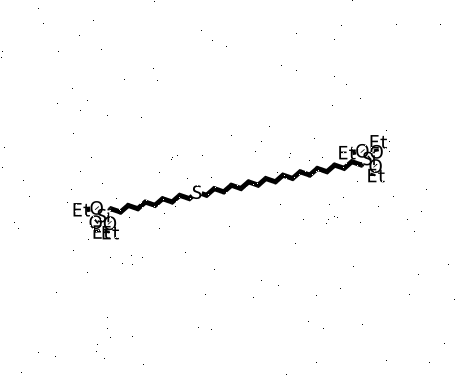 CCO[Si](CCCCCCCCCCCCCCCCCCCSCCCCCCCCCC[Si](OCC)(OCC)OCC)(OCC)OCC